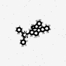 c1ccc(-c2cc(-c3ccccc3)nc(-c3ccc4c5c(ccc4c3)-c3cc4ccccc4cc3C53c4ccccc4-c4ccccc43)n2)cc1